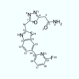 NC(=O)Cc1nnc(Cc2nc3ccc(-c4cccc(F)n4)cc3s2)o1